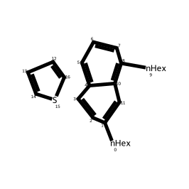 CCCCCCc1ccc2cccc(CCCCCC)c2c1.c1ccsc1